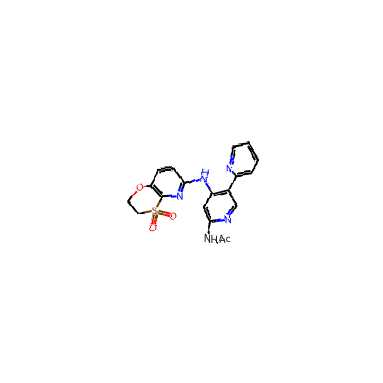 CC(=O)Nc1cc(Nc2ccc3c(n2)S(=O)(=O)CCO3)c(-c2ccccn2)cn1